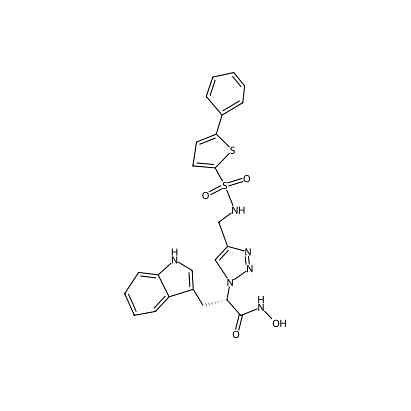 O=C(NO)[C@H](Cc1c[nH]c2ccccc12)n1cc(CNS(=O)(=O)c2ccc(-c3ccccc3)s2)nn1